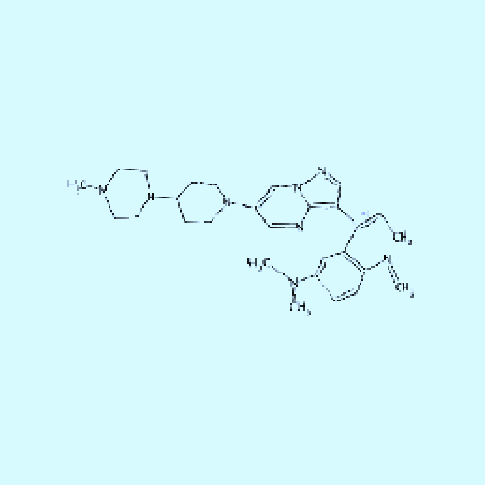 C=Nc1ccc(N(C)C)cc1/C(=C\C)c1cnn2cc(N3CCC(N4CCN(C)CC4)CC3)cnc12